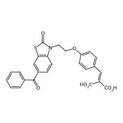 O=C(O)C(=Cc1ccc(OCCn2c(=O)sc3cc(C(=O)c4ccccc4)ccc32)cc1)C(=O)O